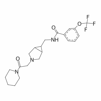 O=C(NCC1C2CN(CC(=O)N3CCCCC3)CC12)c1cccc(OC(F)(F)F)c1